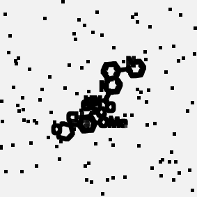 COc1ccc(C2(C)CCCOC2)cc1S(=O)(=O)NC(=O)c1ccc2c(-c3ccccn3)cccc2n1